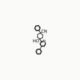 N#CC1(c2ccccc2)CCC(O)(c2cc(-c3ccccc3)ccn2)CC1